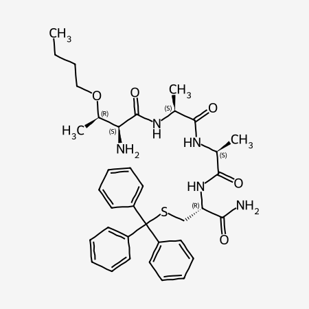 CCCCO[C@H](C)[C@H](N)C(=O)N[C@@H](C)C(=O)N[C@@H](C)C(=O)N[C@@H](CSC(c1ccccc1)(c1ccccc1)c1ccccc1)C(N)=O